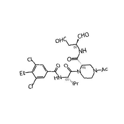 CCc1c(Cl)cc(C(=O)N[C@H](C(=O)N2CCN(C(C)=O)C[C@H]2C(=O)N[C@H](C=O)CC=O)C(C)C)cc1Cl